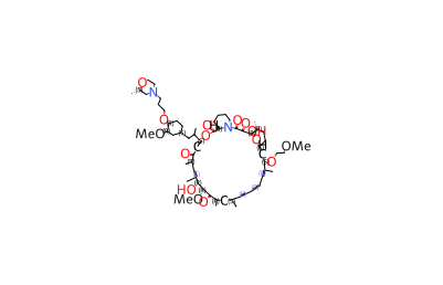 COCCO[C@H]1C[C@@H]2CC[C@@H](C)[C@@](O)(O2)C(=O)C(=O)N2CCCC[C@H]2C(=O)O[C@H](C(C)C[C@@H]2CC[C@@H](OCCCN3CCO[C@@H](C)C3)[C@H](OC)C2)CC(=O)[C@H](C)/C=C(\C)[C@@H](O)[C@@H](OC)C(=O)[C@H](C)C[C@H](C)/C=C/C=C/C=C/1C